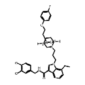 CCc1cccc2c(C(=O)NCc3ccc(Cl)c(Cl)c3)cn(CCCN3C[C@@H]4CC[C@H]3CN4CCOc3ccc(F)cc3)c12